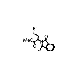 COC(=O)C(CCBr)N1C(=O)c2ccccc2C1=O